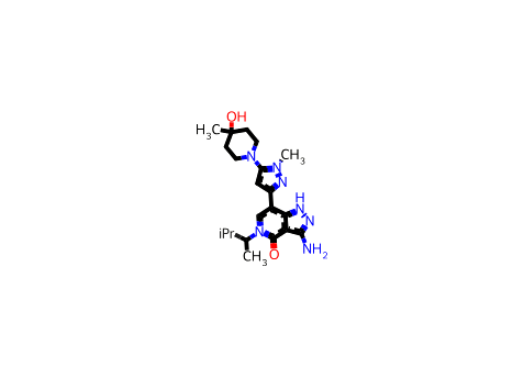 CC(C)C(C)n1cc(-c2cc(N3CCC(C)(O)CC3)n(C)n2)c2[nH]nc(N)c2c1=O